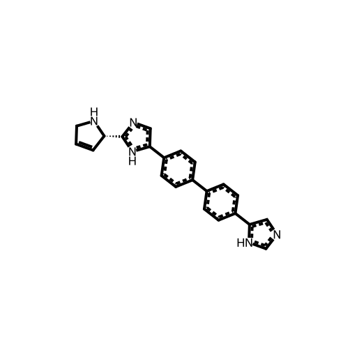 C1=C[C@@H](c2ncc(-c3ccc(-c4ccc(-c5cnc[nH]5)cc4)cc3)[nH]2)NC1